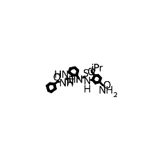 CC(C)Oc1ccc(C(N)=O)cc1NC(=S)Nc1cccc2[nH]c(NC(=O)c3ccccc3)nc12